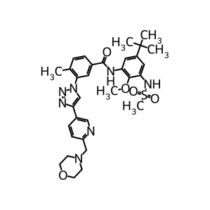 COc1c(NC(=O)c2ccc(C)c(-n3cc(-c4ccc(CN5CCOCC5)nc4)nn3)c2)cc(C(C)(C)C)cc1NS(C)(=O)=O